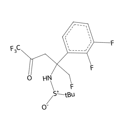 CC(C)(C)[S+]([O-])NC(CF)(CC(=O)C(F)(F)F)c1cccc(F)c1F